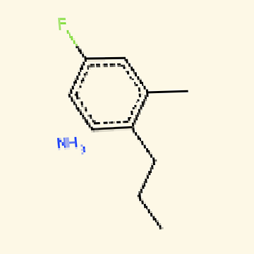 CCCc1ccc(F)cc1C.N